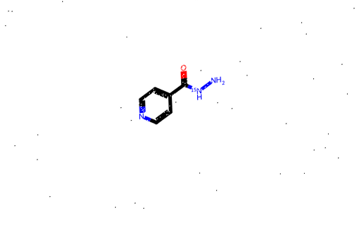 N[15NH]C(=O)c1ccncc1